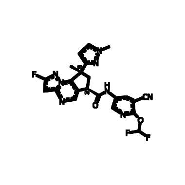 Cn1ccc([C@]2(C)C[C@@H](C(=O)Nc3cnc(OC(F)F)c(C#N)c3)c3cnc4cc(F)nn4c32)n1